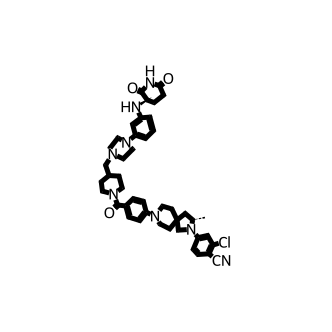 C[C@H]1CC2(CCN(c3ccc(C(=O)N4CCC(CN5CCN(c6cccc(N[C@@H]7CCC(=O)NC7=O)c6)CC5)CC4)cc3)CC2)CN1c1ccc(C#N)c(Cl)c1